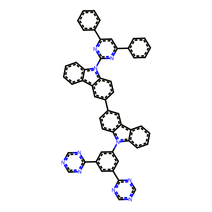 c1ccc(-c2cc(-c3ccccc3)nc(-n3c4ccccc4c4cc(-c5ccc6c(c5)c5ccccc5n6-c5cc(-c6ncncn6)cc(-c6ncncn6)c5)ccc43)n2)cc1